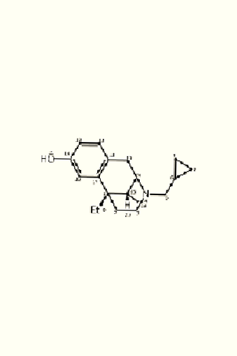 CC[C@@]12CCN(CC3CC3)C(Cc3ccc(O)cc31)[C@@H]2C